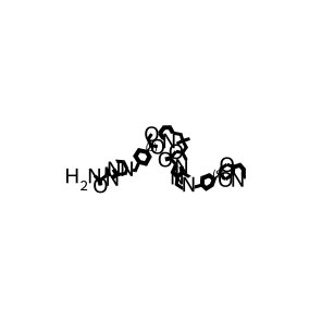 CC(CC(C)(C)Cc1ccc2c(n1)O[C@@H](c1ccc(CN3CCn4cc(C(N)=O)nc4C3)cc1)CO2)OC(=O)c1cn2c(n1)CN(Cc1ccc([C@H]3COc4cccnc4O3)cc1)CC2